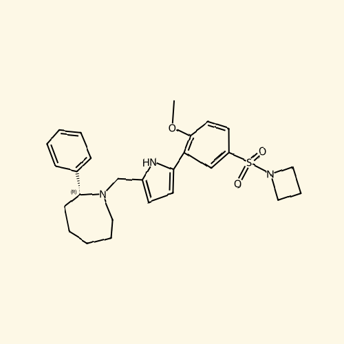 COc1ccc(S(=O)(=O)N2CCC2)cc1-c1ccc(CN2CCCCC[C@@H]2c2ccccc2)[nH]1